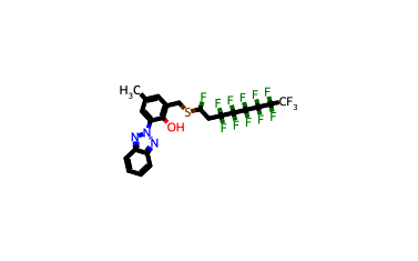 Cc1cc(CSC(F)CC(F)(F)C(F)(F)C(F)(F)C(F)(F)C(F)(F)C(F)(F)F)c(O)c(-n2nc3ccccc3n2)c1